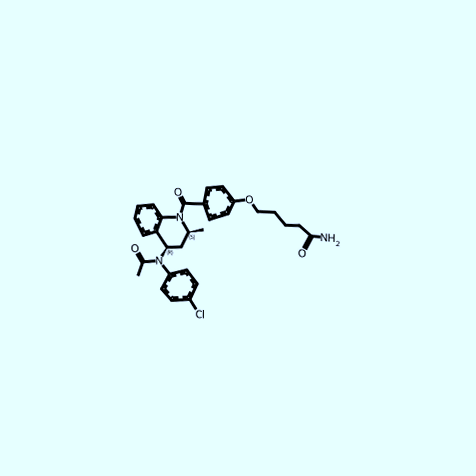 CC(=O)N(c1ccc(Cl)cc1)[C@@H]1C[C@H](C)N(C(=O)c2ccc(OCCCCC(N)=O)cc2)c2ccccc21